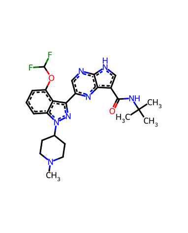 CN1CCC(n2nc(-c3cnc4[nH]cc(C(=O)NC(C)(C)C)c4n3)c3c(OC(F)F)cccc32)CC1